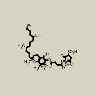 Cc1c(C)c2c(c(C)c1OC(=O)CCC(=O)O[N+]1(O)C(=O)CC(S(=O)(=O)O)C1=O)CC[C@@](C)(CCC[C@H](C)CCC[C@H](C)CCCC(C)C)O2